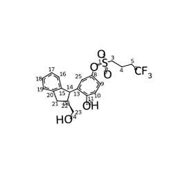 O=S(=O)(CCCC(F)(F)F)Oc1ccc(O)c(C2c3ccccc3C[C@@H]2CO)c1